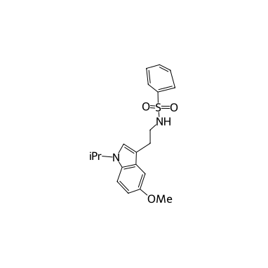 COc1ccc2c(c1)c(CCNS(=O)(=O)c1ccccc1)cn2C(C)C